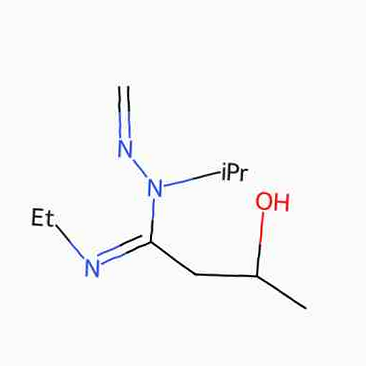 C=NN(/C(CC(C)O)=N\CC)C(C)C